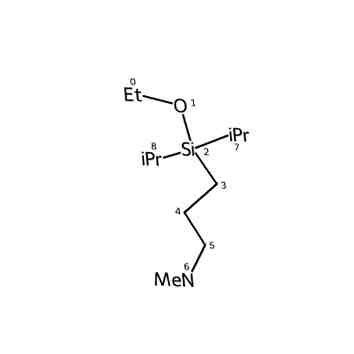 CCO[Si](CCCNC)(C(C)C)C(C)C